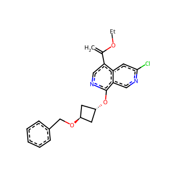 C=C(OCC)c1cnc(O[C@H]2C[C@H](OCc3ccccc3)C2)c2cnc(Cl)cc12